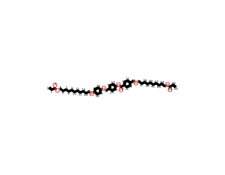 C=CC(=O)OCCCCCCCCCCCOc1ccc(OCc2ccc(OC(=O)c3ccc(COCCCCCCCCCCOC(=O)C=C)cc3)cc2)cc1